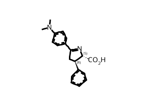 CN(C)c1ccc(C2=N[C@H](C(=O)O)[C@@H](c3ccccc3)C2)cc1